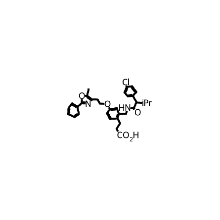 Cc1oc(-c2ccccc2)nc1CCOc1ccc(CCC(=O)O)c(CNC(=O)C(c2ccc(Cl)cc2)C(C)C)c1